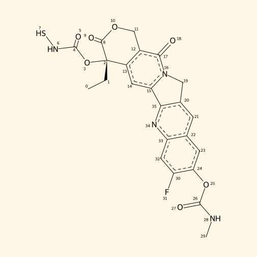 CC[C@@]1(OC(=O)NS)C(=O)OCc2c1cc1n(c2=O)Cc2cc3cc(OC(=O)NC)c(F)cc3nc2-1